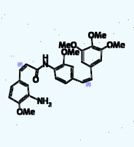 COc1ccc(/C=C\C(=O)Nc2ccc(/C=C\c3cc(OC)c(OC)c(OC)c3)cc2OC)cc1N